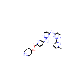 Cc1cccc(-c2nccc(Nc3ccnc(Nc4ccc(C(=O)OC5CCCNCC5)nc4)n3)n2)n1